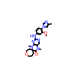 COc1cc(Nc2ncc3c(n2)N(C)C2(CCCOCC2)C(=O)N3C)ccc1-n1cnc(C)c1